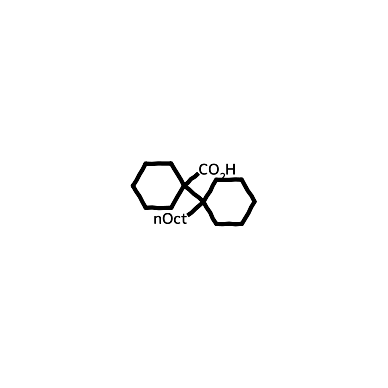 CCCCCCCCC1(C2(C(=O)O)CCCCC2)CCCCC1